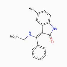 CC(=O)c1ccc2c(c1)C(=C(NCC(=O)O)c1ccccc1)C(=O)N2